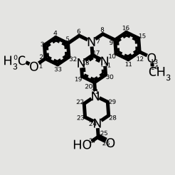 COc1ccc(CN(Cc2ccc(OC)cc2)c2ncc(N3CCN(C(=O)O)CC3)cn2)cc1